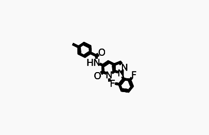 Cc1ccc(C(=O)Nc2cc3cnn(-c4c(F)cccc4F)c3n(C)c2=O)cc1